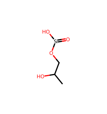 CC(O)CO[Si](=O)O